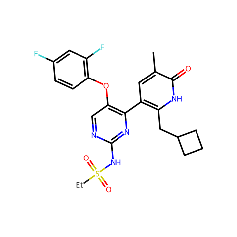 CCS(=O)(=O)Nc1ncc(Oc2ccc(F)cc2F)c(-c2cc(C)c(=O)[nH]c2CC2CCC2)n1